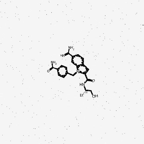 CC[C@@H](CO)NC(=O)c1cc2ccc(C(=N)N)cc2n1Cc1ccc(C(N)=O)cc1